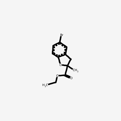 CCOC(=O)C1(C)Cc2cc(Br)ccc2O1